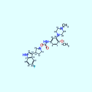 COc1ccc(NC(=O)ON2CCC(c3c[nH]c4ccc(F)cc34)C2)cc1N1CCN(C)CC1